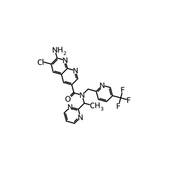 CC(c1ncccn1)N(Cc1ccc(C(F)(F)F)cn1)C(=O)c1cnc2nc(N)c(Cl)cc2c1